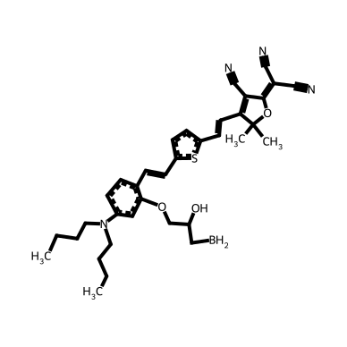 BCC(O)COc1cc(N(CCCC)CCCC)ccc1/C=C/c1ccc(/C=C/C2=C(C#N)C(=C(C#N)C#N)OC2(C)C)s1